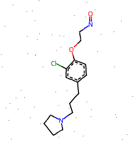 O=NCCOc1ccc(CCCN2CCCC2)cc1Cl